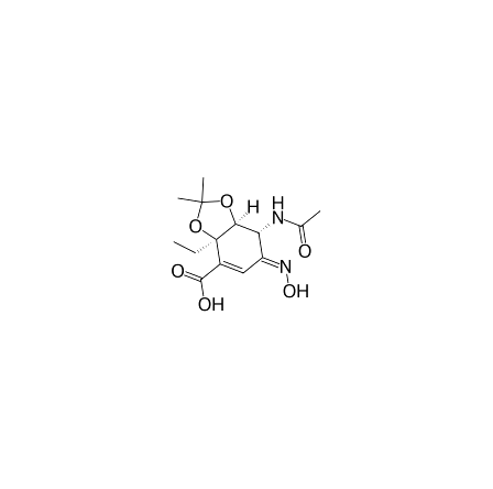 CC[C@]12OC(C)(C)O[C@H]1[C@H](NC(C)=O)C(=NO)C=C2C(=O)O